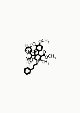 COC(=O)C1=C(C)N(CCCc2ccccc2)C(C)C(C(=O)O)(C(C(N)=O)c2ccccn2)C1c1ccc(OC)c(OC)c1